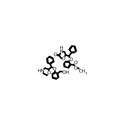 CCOC(=O)c1ccccc1OC(c1ccccc1)C1CNC(=O)CO1.OCc1ccccc1OC(c1ccccc1)C1CNCCO1